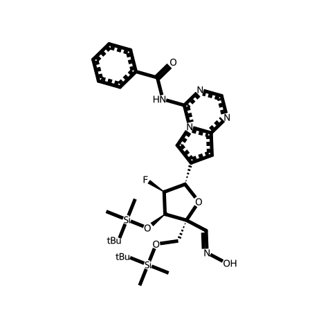 CC(C)(C)[Si](C)(C)OC[C@@]1(C=NO)O[C@@H](c2cc3ncnc(NC(=O)c4ccccc4)n3c2)[C@H](F)[C@@H]1O[Si](C)(C)C(C)(C)C